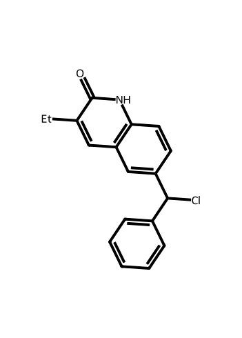 CCc1cc2cc(C(Cl)c3ccccc3)ccc2[nH]c1=O